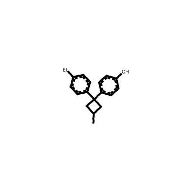 CCc1ccc(C2(c3ccc(O)cc3)CC(C)C2)cc1